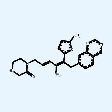 Cc1ccc(C(Cc2ccc3cncnc3c2)=C(N)C=CCN2CCNCC2=O)s1